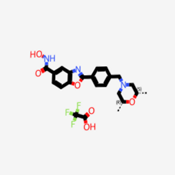 C[C@@H]1CN(Cc2ccc(-c3nc4cc(C(=O)NO)ccc4o3)cc2)C[C@H](C)O1.O=C(O)C(F)(F)F